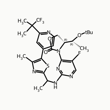 Cc1nc(C(C)Nc2ncc(F)c(N3C(=O)OC[C@@H]3[C@@H](C)OC(C)(C)C)n2)sc1-c1ccnc(C(C)(C)C(F)(F)F)c1